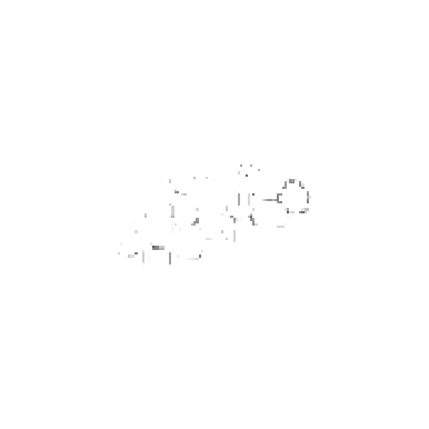 COc1cccc(F)c1NC(=O)C(=O)N[C@@H](CC(C)C)C(=O)N[C@@H](C[C@@H]1CCNC1=O)C(=O)COC(F)(F)F